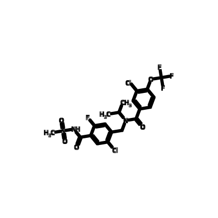 CC(C)N(Cc1cc(F)c(C(=O)NS(C)(=O)=O)cc1Cl)C(=O)c1ccc(OC(F)(F)F)c(Cl)c1